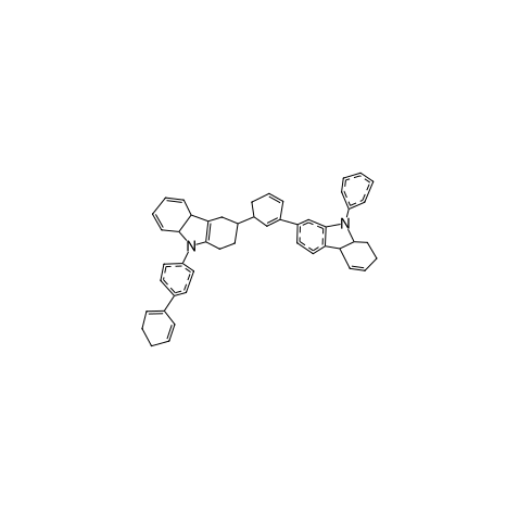 C1=CC2C3=C(CCC(C4C=C(c5ccc6c(c5)N(c5ccccc5)C5CCC=CC65)C=CC4)C3)N(c3ccc(C4=CCCC=C4)cc3)C2C=C1